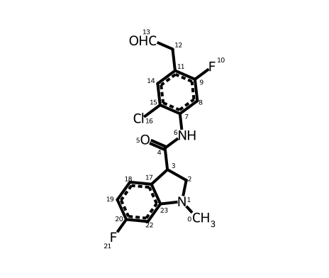 CN1CC(C(=O)Nc2cc(F)c(CC=O)cc2Cl)c2ccc(F)cc21